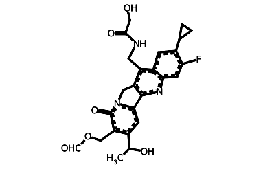 CC(O)c1cc2n(c(=O)c1COC=O)Cc1c-2nc2cc(F)c(C3CC3)cc2c1CNC(=O)CO